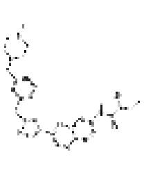 CCN(S)C(=O)Nc1ccc2ncc(-c3cnn(Cc4cccc(CN5CCN(C)CC5)c4)c3)nc2n1